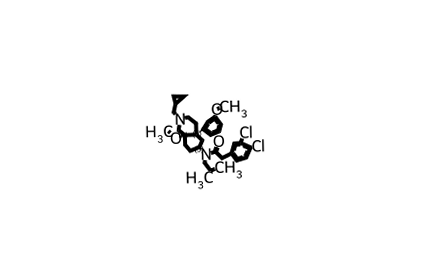 COc1cccc([C@@]23CCN(CC4CC4)C[C@@]2(OC)CC[C@H](N(CC(C)C)C(=O)Cc2ccc(Cl)c(Cl)c2)C3)c1